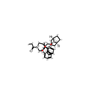 CCC(=O)N1CCC(CCN2[C@@H]3CC[C@H]2C[C@@H](n2c(C)nc4ccccc42)C3)(c2ccccc2)CC1